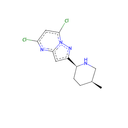 C[C@H]1CC[C@@H](c2cc3nc(Cl)cc(Cl)n3n2)NC1